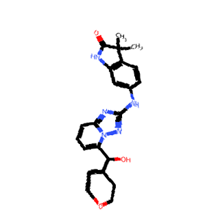 CC1(C)C(=O)Nc2cc(Nc3nc4cccc(C(O)C5CCOCC5)n4n3)ccc21